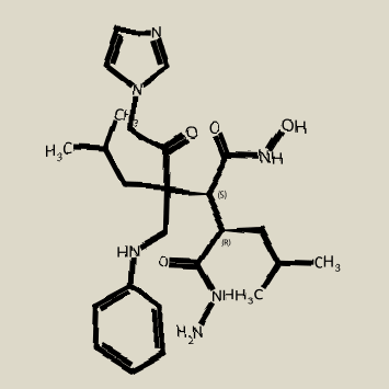 CC(C)C[C@@H](C(=O)NN)[C@H](C(=O)NO)C(CNc1ccccc1)(CC(C)C)C(=O)Cn1ccnc1